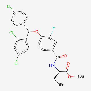 CC(C)C[C@@H](NC(=O)c1ccc(OC(c2ccc(Cl)cc2)c2ccc(Cl)cc2Cl)c(F)c1)C(=O)OC(C)(C)C